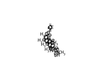 COC(=O)[C@H](CO)NC(=O)[C@H]1CC[C@]2(C)C3C(=O)C=C4[C@@H]5C[C@@](C)(C(=O)OCc6ccccc6)CC[C@]5(C)CC[C@@]4(C)[C@]3(C)CC[C@H]2C1(C)C